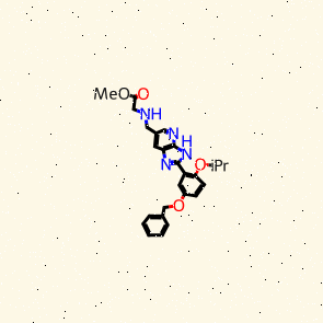 COC(=O)CNCc1cnc2[nH]c(-c3cc(OCc4ccccc4)ccc3OC(C)C)nc2c1